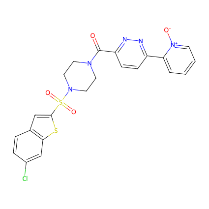 O=C(c1ccc(-c2cccc[n+]2[O-])nn1)N1CCN(S(=O)(=O)c2cc3ccc(Cl)cc3s2)CC1